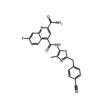 Cc1nc(Cc2ccc(C#N)cc2)sc1NC(=O)c1cc(C(N)=O)nc2cc(F)ccc12